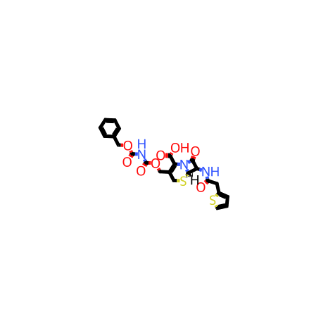 O=C(Cc1cccs1)NC1C(=O)N2C(C(=O)O)=C(COC(=O)NC(=O)OCc3ccccc3)CS[C@@H]12